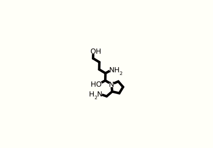 NCC1CCCN1C(O)C(N)CCCO